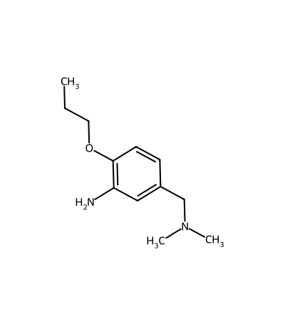 CCCOc1ccc(CN(C)C)cc1N